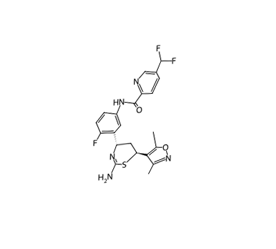 Cc1noc(C)c1[C@@H]1C[C@@H](c2cc(NC(=O)c3ccc(C(F)F)cn3)ccc2F)N=C(N)S1